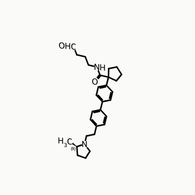 C[C@@H]1CCCN1CCc1ccc(-c2ccc(C3(C(=O)NCCCC=O)CCCC3)cc2)cc1